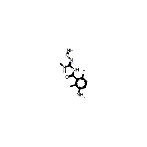 CN/C(=N\N=N)NC(=O)c1c(F)ccc(N)c1C